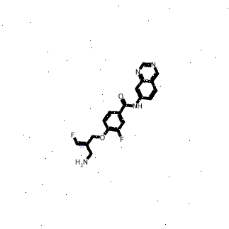 NC/C(=C/F)COc1ccc(C(=O)Nc2ccc3cncnc3c2)cc1F